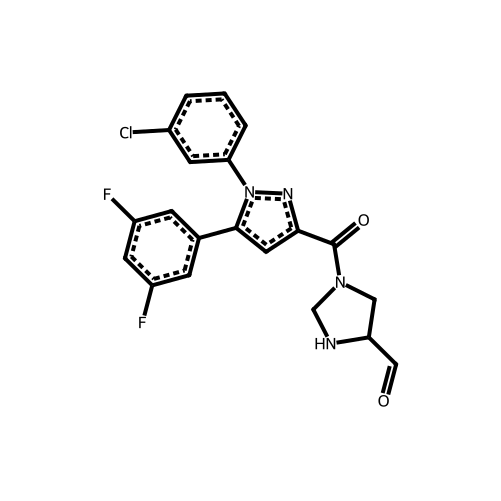 O=CC1CN(C(=O)c2cc(-c3cc(F)cc(F)c3)n(-c3cccc(Cl)c3)n2)CN1